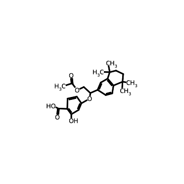 CC(=O)OCC(Oc1ccc(C(=O)O)c(O)c1)c1ccc2c(c1)C(C)(C)CCC2(C)C